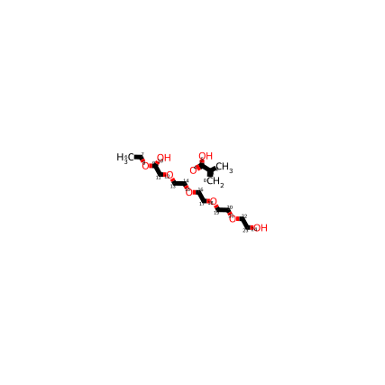 C=C(C)C(=O)O.CCOC(O)COCCOCCOCCOCCO